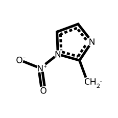 [CH2]c1nccn1[N+](=O)[O-]